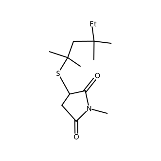 CCC(C)(C)CC(C)(C)SC1CC(=O)N(C)C1=O